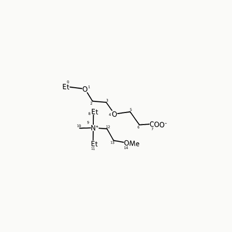 CCOCCOCCC(=O)[O-].CC[N+](C)(CC)CCOC